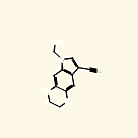 CCn1cc(C#N)c2cc3c(cc21)OCCO3